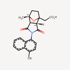 C[C@@]12CCC(CC(=O)O)(O1)[C@@H]1C(=O)N(c3ccc(C#N)c4ccccc34)C(=O)C12